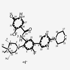 C[C@@H]1CN(c2cc(F)c(-c3cnc(N4CCOCC4)nc3)cc2NC(=O)c2c[nH]c(=O)cc2C(F)(F)F)C[C@H](C)[N+]1(C)C.[I-]